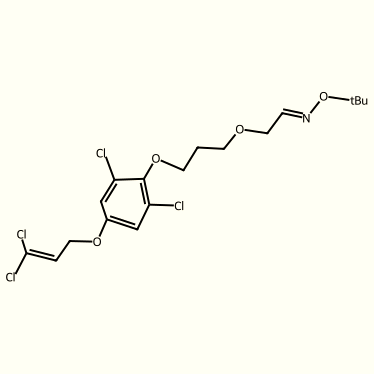 CC(C)(C)ON=CCOCCCOc1c(Cl)cc(OCC=C(Cl)Cl)cc1Cl